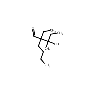 CCCCC(C=O)(CC)C(C)(O)CC